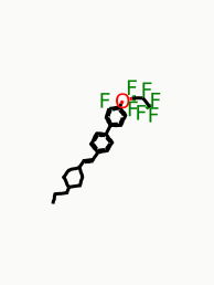 CCCC1CCC(C=Cc2ccc(-c3ccc(OC(F)(F)C(F)C(F)(F)F)c(F)c3)cc2)CC1